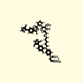 CN/C=C\N(N)c1ccc(N(CCCCCOCC(=O)N[C@H](C(=O)N2CCC[C@H]2C(=O)N[C@@H](C)c2ccc(-c3scnc3C)cc2)C(C)(C)C)c2cc(-c3c(C)noc3C)ccc2C)cc1